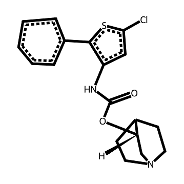 O=C(Nc1cc(Cl)sc1-c1ccccc1)O[C@H]1CN2CCC1CC2